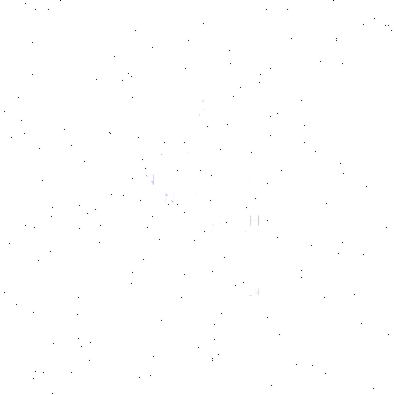 CC(c1ccc(Br)cc1)n1ncc2c(Cl)ccc(C(=O)O)c21